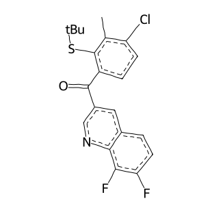 Cc1c(Cl)ccc(C(=O)c2cnc3c(F)c(F)ccc3c2)c1SC(C)(C)C